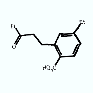 CCC(=O)CCc1cc(CC)ccc1C(=O)O